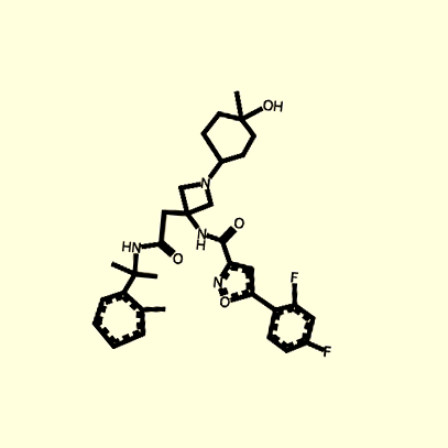 Cc1ccccc1C(C)(C)NC(=O)CC1(NC(=O)c2cc(-c3ccc(F)cc3F)on2)CN(C2CCC(C)(O)CC2)C1